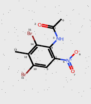 CC(=O)Nc1c([N+](=O)[O-])cc(Br)c(C)c1Br